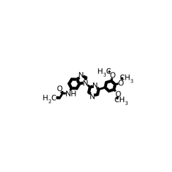 C=CC(=O)Nc1ccc2ncn(-c3cncc(-c4cc(OC)c(OC)c(OC)c4)n3)c2c1